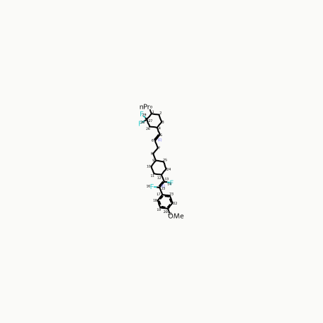 CCCC1CCC(/C=C/CCC2CCC(/C(F)=C(\F)c3ccc(OC)cc3)CC2)CC1(F)F